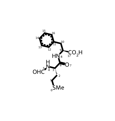 CSCC[C@H](NC=O)C(=O)N[C@@H](Cc1ccccc1)C(=O)O